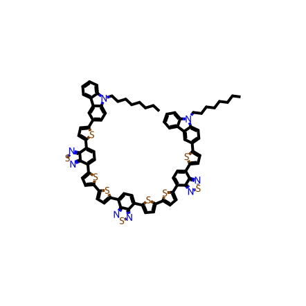 CCCCCCCCn1c2ccccc2c2cc(-c3ccc(-c4ccc(-c5ccc(-c6ccc(-c7ccc(-c8ccc(-c9ccc(-c%10ccc(-c%11ccc(-c%12ccc%13c(c%12)c%12ccccc%12n%13CCCCCCCC)s%11)c%11nsnc%10%11)s9)s8)c8nsnc78)s6)s5)c5nsnc45)s3)ccc21